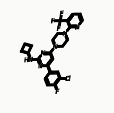 Fc1ccc(-c2cc(N3CCN(c4ncccc4C(F)(F)F)CC3)nc(NC3CCC3)n2)cc1Cl